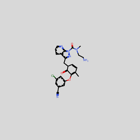 CC1=C(Oc2cc(Cl)cc(C#N)c2)C(=O)C(Cc2nn(C(=O)N(C)CCN)c3ncccc23)C=C1